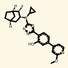 COc1cc(-c2ccc(-c3nnc(N(C4CC4)[C@H]4C[C@@H]5CC[C@@H](C5)[C@H]4F)s3)c(O)c2)ccn1